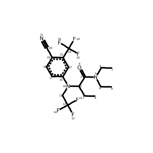 CCC(C(=O)N(CC)CC)N(CC(F)(F)F)c1ccc(C#N)c(C(F)(F)F)c1